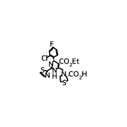 CCOC(=O)C1=C(CN2CCSC[C@H]2C(=O)O)NC(c2nccs2)=N[C@H]1c1ccc(F)cc1Cl